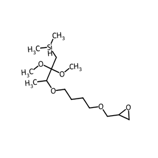 COC(C[SiH](C)C)(OC)C(C)OCCCCOCC1CO1